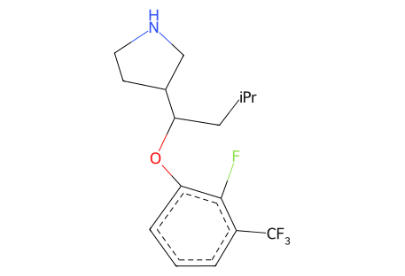 CC(C)CC(Oc1cccc(C(F)(F)F)c1F)C1CCNC1